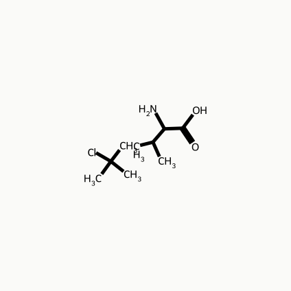 CC(C)(C)Cl.CC(C)C(N)C(=O)O